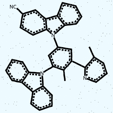 Cc1cccnc1-c1cc(-n2c3ccccc3c3cc(C#N)ccc32)cc(-n2c3ccccc3c3ccccc32)c1C